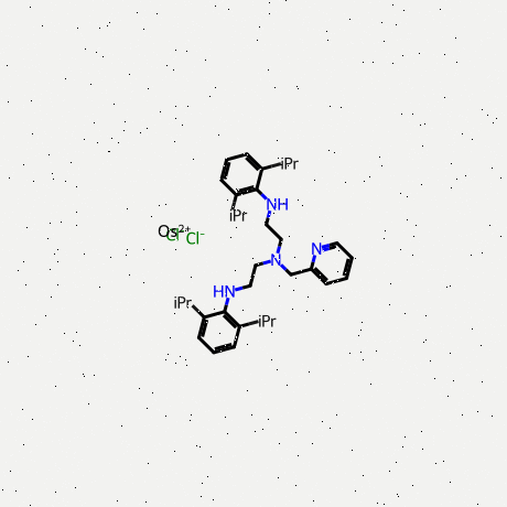 CC(C)c1cccc(C(C)C)c1NCCN(CCNc1c(C(C)C)cccc1C(C)C)Cc1ccccn1.[Cl-].[Cl-].[Os+2]